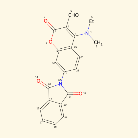 CCN(C)c1c(C=O)c(=O)oc2cc(N3C(=O)c4ccccc4C3=O)ccc12